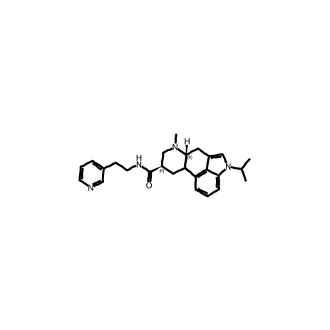 CC(C)n1cc2c3c(cccc31)C1C[C@@H](C(=O)NCCc3cccnc3)CN(C)[C@@H]1C2